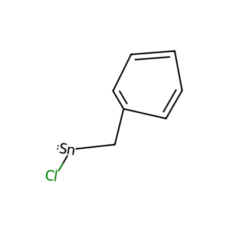 [Cl][Sn][CH2]c1ccccc1